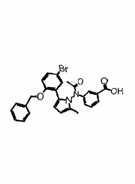 CC(=O)N(c1cccc(C(=O)O)c1)n1c(C)ccc1-c1cc(Br)ccc1OCc1ccccc1